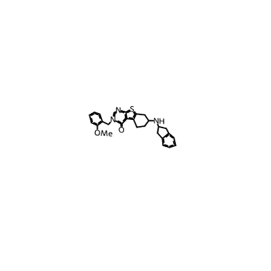 COc1ccccc1Cn1cnc2sc3c(c2c1=O)CCC(NC1Cc2ccccc2C1)C3